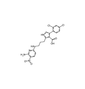 Nc1nc([AsH]CCCc2[nH]cc(-c3ccc(Cl)cc3Cl)c2C(=O)O)ccc1[N+](=O)[O-]